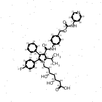 CC(C)c1c(C(=O)Nc2ccc(COC(=O)Nc3ccncc3)cc2)c(-c2ccccc2)c(-c2ccc(F)cc2)n1CC[C@@H](O)C[C@@H](O)CC(=O)O